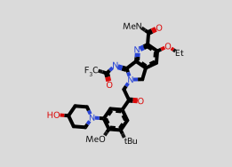 CCOc1cc2c(nc1C(=O)NC)C(=NC(=O)C(F)(F)F)N(CC(=O)c1cc(N3CCC(O)CC3)c(OC)c(C(C)(C)C)c1)C2